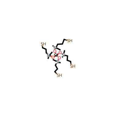 C[Si](C)(CCCS)O[Si](O[Si](C)(C)CCCS)(O[Si](C)(C)CCCS)O[Si](C)(C)CCCS